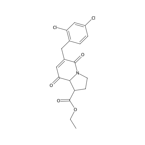 CCOC(=O)C1CCN2C(=O)C(Cc3ccc(Cl)cc3Cl)=CC(=O)C12